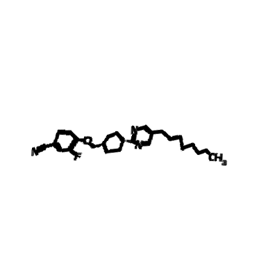 CCCCCCCCc1cnc([C@H]2CC[C@H](COc3ccc(C#N)cc3F)CC2)nc1